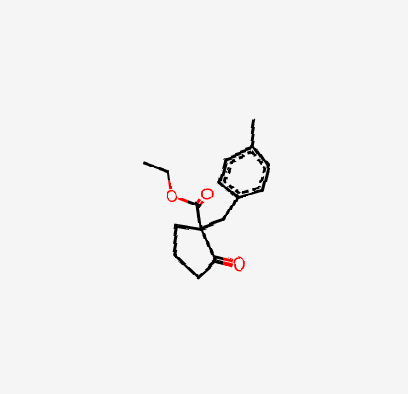 CCOC(=O)C1(Cc2ccc(C)cc2)CCCC1=O